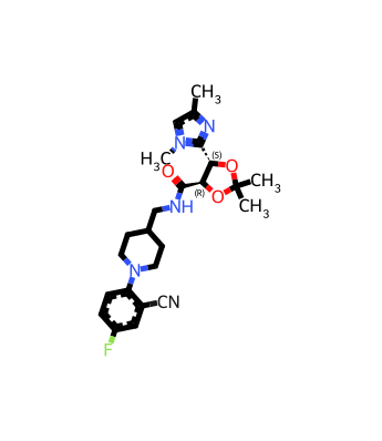 Cc1cn(C)c([C@@H]2OC(C)(C)O[C@H]2C(=O)NCC2CCN(c3ccc(F)cc3C#N)CC2)n1